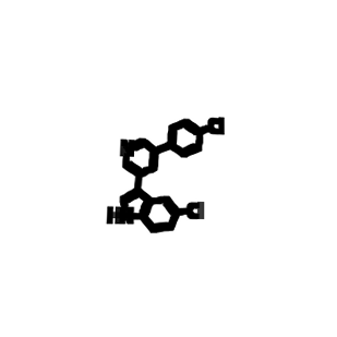 Clc1ccc(-c2cncc(-c3c[nH]c4ccc(Cl)cc34)c2)cc1